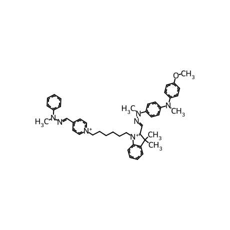 COc1ccc(N(C)c2ccc(N(C)/N=C/C3=[N+](CCCCCC[n+]4ccc(/C=N/N(C)c5ccccc5)cc4)c4ccccc4C3(C)C)cc2)cc1